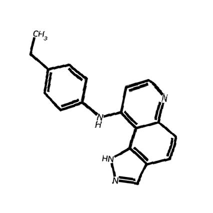 CCc1ccc(Nc2ccnc3ccc4cn[nH]c4c23)cc1